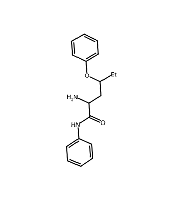 CCC(CC(N)C(=O)Nc1ccccc1)Oc1ccccc1